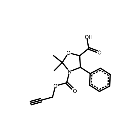 C#CCOC(=O)N1C(c2ccccc2)C(C(=O)O)OC1(C)C